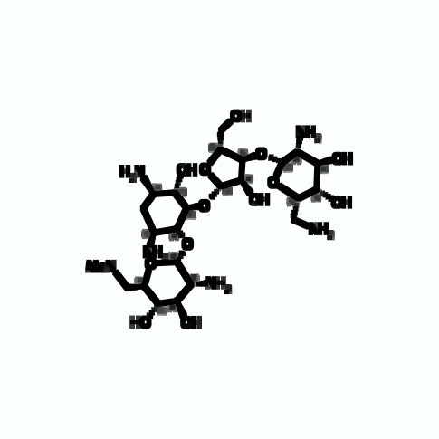 CNC[C@H]1O[C@H](O[C@H]2[C@H](O[C@@H]3O[C@H](CO)[C@@H](O[C@H]4O[C@@H](CN)[C@@H](O)[C@H](O)[C@H]4N)[C@H]3O)[C@@H](O)[C@H](N)C[C@@H]2N)[C@H](N)[C@@H](O)[C@@H]1O